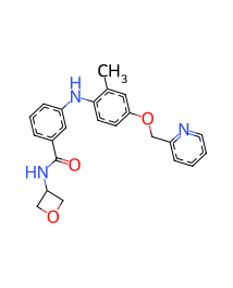 Cc1cc(OCc2ccccn2)ccc1Nc1cccc(C(=O)NC2COC2)c1